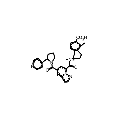 Cc1c(C(=O)O)ccc2c1CC[C@@H]2NC(=O)c1cc(C(=O)N2CCCC2c2ccncc2)nc2ccnn12